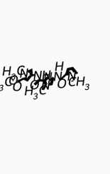 COC(=O)c1cc(NC(=O)c2nc(NC(=O)c3cccn3C)cn2C)cn1C